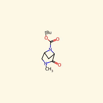 CN1CC2CC(C1=O)N2C(=O)OC(C)(C)C